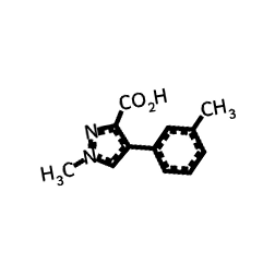 Cc1cccc(-c2cn(C)nc2C(=O)O)c1